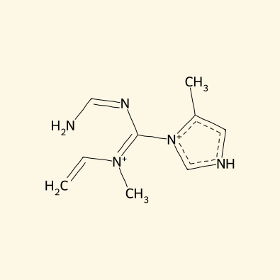 C=C/[N+](C)=C(\N=C/N)[n+]1c[nH]cc1C